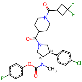 CN(C(=O)Oc1ccc(F)cc1)[C@@H]1CN(C(=O)C2CCN(C(=O)C3CC(F)(F)C3)CC2)C[C@H]1c1ccc(Cl)cc1